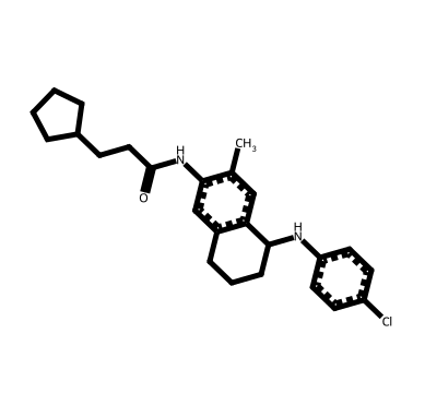 Cc1cc2c(cc1NC(=O)CCC1CCCC1)CCCC2Nc1ccc(Cl)cc1